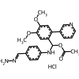 COc1cc(-c2cccnc2)c(C(Nc2ccc(C=NN)cc2)OC(C)=O)cc1OC.Cl